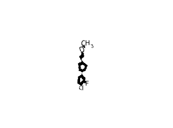 CCOCC[C@H]1CC[C@H](c2ccc(Cl)c(F)c2)CC1